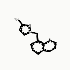 Nc1ccn(Cc2cccc3cccnc23)n1